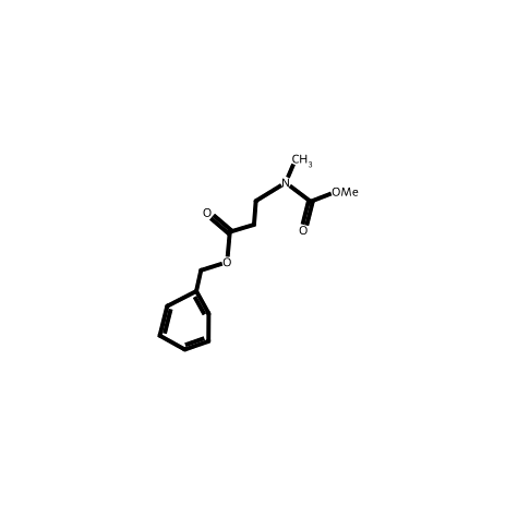 COC(=O)N(C)CCC(=O)OCc1ccccc1